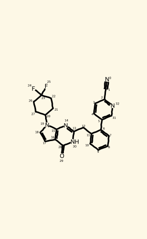 N#Cc1ccc(-c2ccccc2Cc2nc3c(ccn3C3CCC(F)(F)CC3)c(=O)[nH]2)cn1